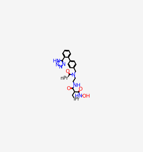 CCCC(=O)N(CCNC(=O)C(CC(C)C)C(=O)NO)Cc1ccc(-c2ccccc2-c2nnn[nH]2)cc1